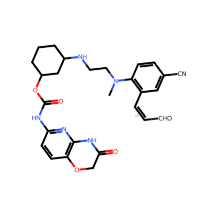 CN(CCNC1CCCC(OC(=O)Nc2ccc3c(n2)NC(=O)CO3)C1)c1ccc(C#N)cc1/C=C\C=O